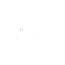 CCCCCCC(C)[CH]C(CC)CCCCCC